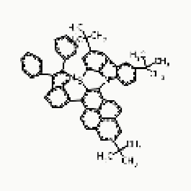 CC(C)(C)c1cc2ccc3c4c5c(c6ccc(c1)c2c36)-n1c2ccc(C(C)(C)C)cc2c2cc(C(C)(C)C)cc(c21)B5n1c(-c2ccccc2)c(-c2ccccc2)c2cccc-4c21